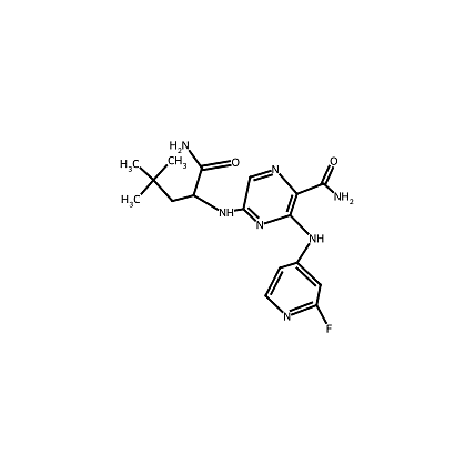 CC(C)(C)CC(Nc1cnc(C(N)=O)c(Nc2ccnc(F)c2)n1)C(N)=O